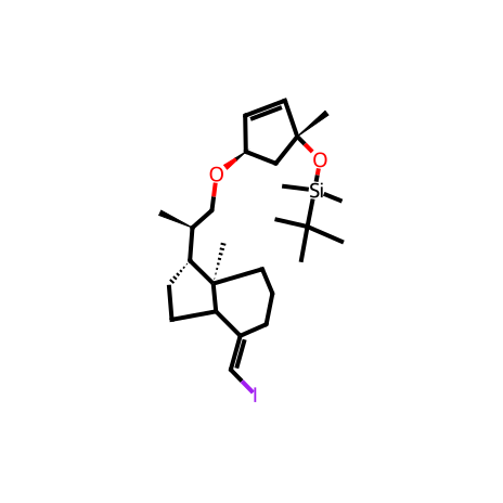 C[C@@H](CO[C@H]1C=C[C@](C)(O[Si](C)(C)C(C)(C)C)C1)[C@H]1CCC2/C(=C/I)CCC[C@@]21C